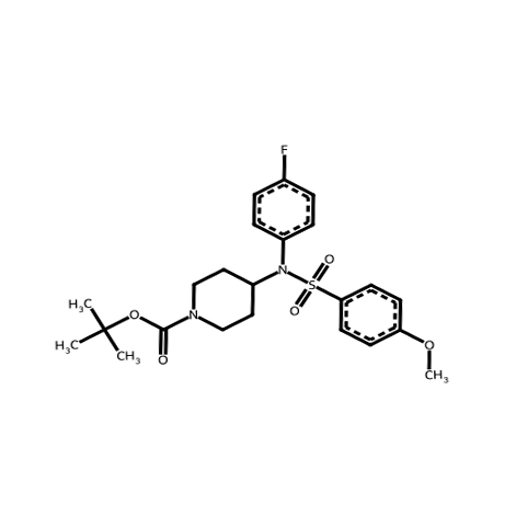 COc1ccc(S(=O)(=O)N(c2ccc(F)cc2)C2CCN(C(=O)OC(C)(C)C)CC2)cc1